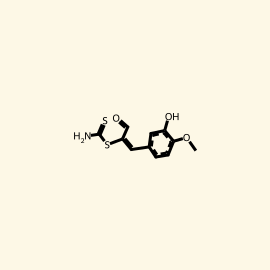 COc1ccc(/C=C(\C=O)SC(N)=S)cc1O